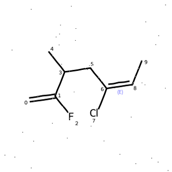 C=C(F)C(C)C/C(Cl)=C\C